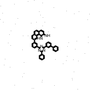 N=C1C=Cc2ccc3ccc(-c4cccc(-c5nc(-c6ccccc6)nc(-c6cccc(-c7ccccc7)c6)n5)c4)cc3c2C1=N